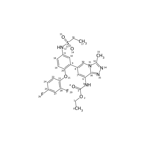 CCOC(=O)Nc1cc(-c2cc(NS(=O)(=O)CC)ccc2Oc2ccc(F)cc2F)cn2c(C)nnc12